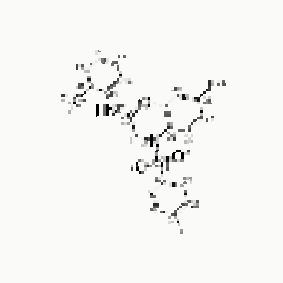 Cc1ccc(S(=O)(=O)N(CC(=O)Nc2ccccc2C(F)(F)F)c2ccc(F)cc2)cc1